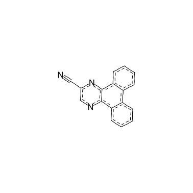 N#Cc1cnc2c3ccccc3c3ccccc3c2n1